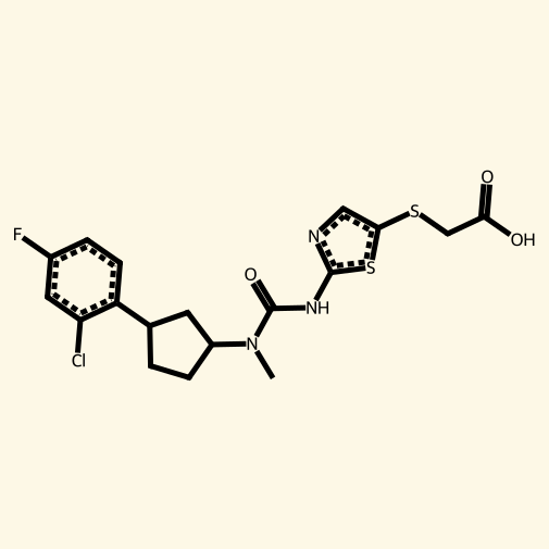 CN(C(=O)Nc1ncc(SCC(=O)O)s1)C1CCC(c2ccc(F)cc2Cl)C1